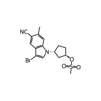 Cc1cc2c(cc1C#N)c(Br)cn2[C@@H]1CC[C@@H](OS(C)(=O)=O)C1